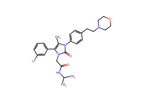 Cc1c(-c2cccc(Cl)c2)n(CC(=O)NC(C)C)c(=O)n1-c1ccc(CCN2CCOCC2)cc1